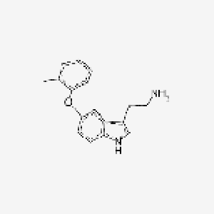 Cc1ccccc1Oc1ccc2[nH]cc(CCN)c2c1